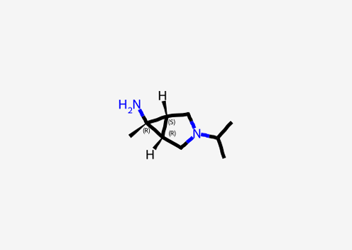 CC(C)N1C[C@@H]2[C@H](C1)[C@]2(C)N